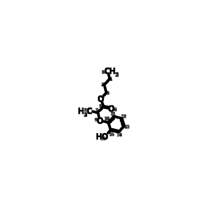 CCCCOC(=O)C(C)Oc1ccccc1O